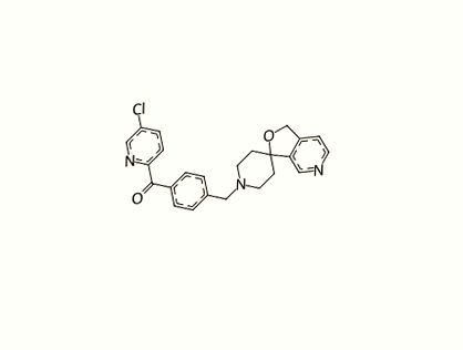 O=C(c1ccc(CN2CCC3(CC2)OCc2ccncc23)cc1)c1ccc(Cl)cn1